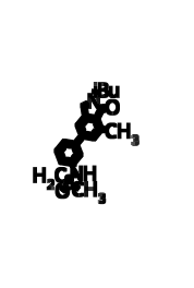 C=S(C)(=O)Nc1cccc(-c2cc(C)c3c(c2)CN(C(C)CC)C3=O)c1